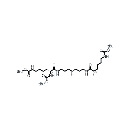 C[C@H](CCCCNC(=O)OC(C)(C)C)C(=O)NCCCNCCCNC(=O)[C@@H](CCCCNC(=O)OC(C)(C)C)NC(=O)OC(C)(C)C